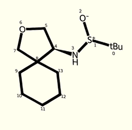 CC(C)(C)[S+]([O-])N[C@@H]1COCC12CCCCC2